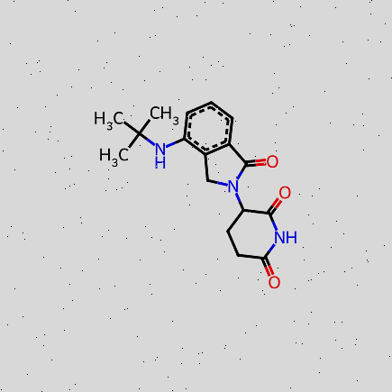 CC(C)(C)Nc1cccc2c1CN(C1CCC(=O)NC1=O)C2=O